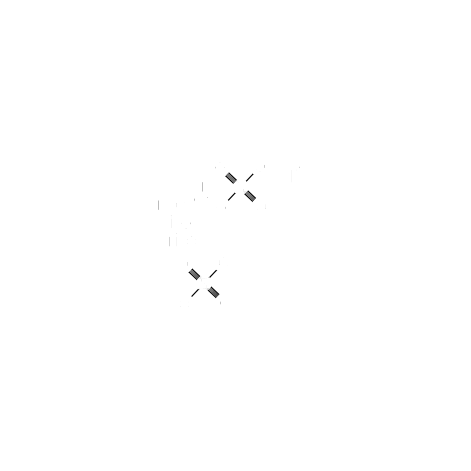 O.O.O.O.O=S(=O)([O-])[O-].O=S(=O)([O-])[O-].[Hf+4]